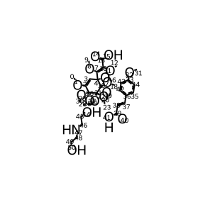 COC1=CC(OC)(C(OC)=C(OC)C(=O)O)C(OC)(OC)C(OC)(OC)C1(OC)OC.COc1ccc(C=CC(=O)O)cc1.OCCNCCO